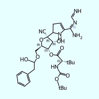 CC(C)(C)OC(=O)N[C@H](C(=O)O[C@H]1[C@@H](O)[C@](C#N)(C2CC=C(/C(N)=N\C=N)N2)O[C@@H]1COC(O)Cc1ccccc1)C(C)(C)C